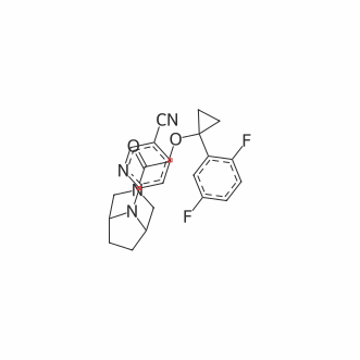 N#Cc1ccc(N2C3CCC2CN(C(=O)COC2(c4cc(F)ccc4F)CC2)C3)nc1